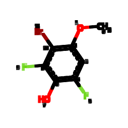 COc1cc(F)c(O)c(F)c1Br